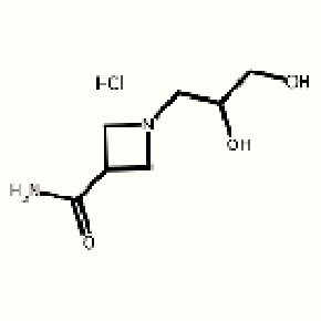 Cl.NC(=O)C1CN(CC(O)CO)C1